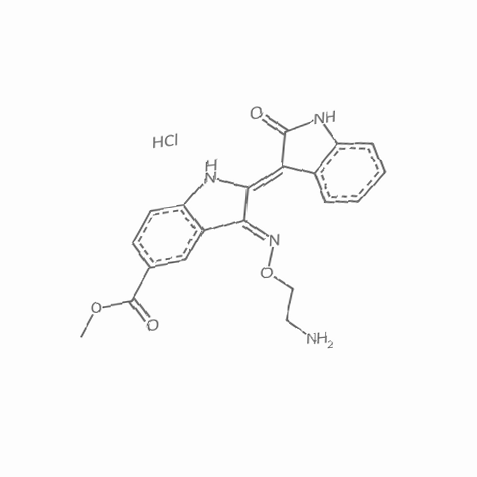 COC(=O)c1ccc2c(c1)C(=N\OCCN)/C(=C1/C(=O)Nc3ccccc31)N2.Cl